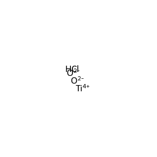 Cl.[O-2].[O-2].[Ti+4]